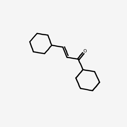 O=C(/C=C/C1CCCCC1)C1CCCCC1